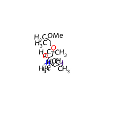 COC(C)(C)CCOC(C)(C)CC(=O)N(CC(C)C)C(C)(C)CC(C)(C)I